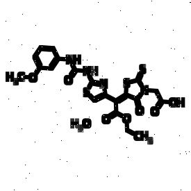 CCOC(=O)C(=C1SC(=S)N(CC(=O)O)C1=O)c1csc(NC(=O)Nc2cccc(OC)c2)n1.O